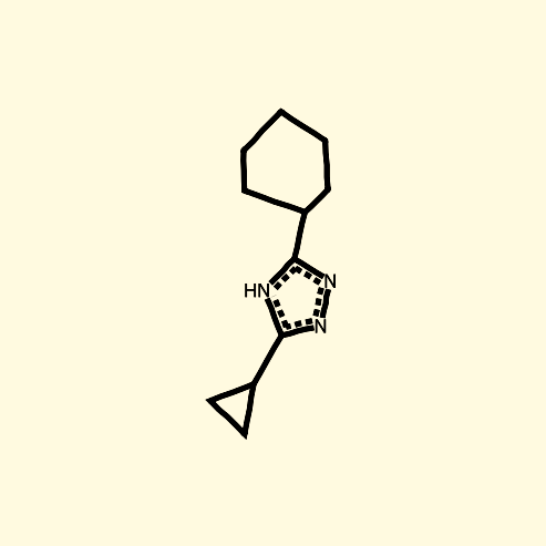 C1CCC(c2nnc(C3CC3)[nH]2)CC1